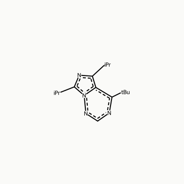 CC(C)c1nc(C(C)C)n2ncnc(C(C)(C)C)c12